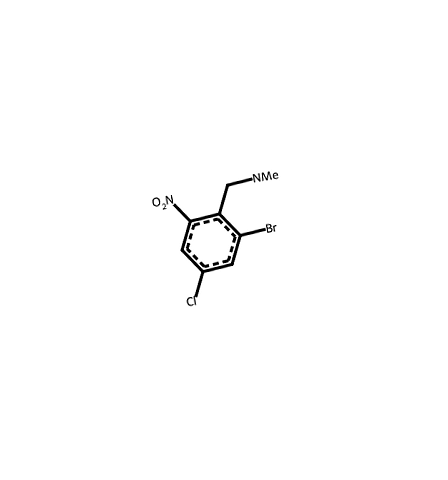 CNCc1c(Br)cc(Cl)cc1[N+](=O)[O-]